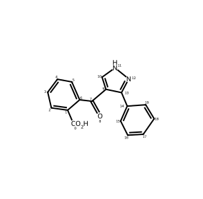 O=C(O)c1ccccc1C(=O)c1c[nH]nc1-c1ccccc1